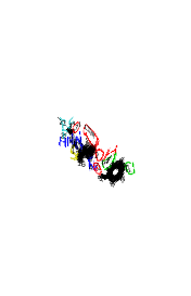 O=C(O)C(=NOCc1ccc(Cl)cc1Cl)c1csc(NC(=O)C(F)(F)F)n1